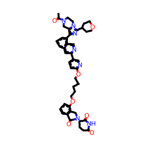 CC(=O)N1CCn2c(C3CCOCC3)nc(-c3cccc4cc(-c5ccc(OCCCCCOc6cccc7c6CN(C6CCC(=O)NC6=O)C7=O)nc5)ncc34)c2C1